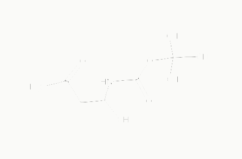 CC(=O)CC(C)NC(=O)OC(C)(C)C